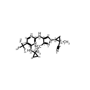 Cc1nn([C@H]2C[C@@]2(C)C#N)cc1Nc1ncc(C(F)(F)F)c(NC2(C)CC2)n1